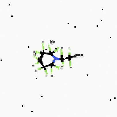 O=C([O-])C(F)(F)C(F)(F)N1C(F)(F)C(F)(F)C(F)(F)C(F)(F)C1(F)F.[Na+]